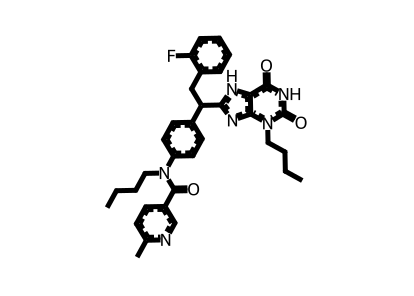 CCCCN(C(=O)c1ccc(C)nc1)c1ccc(C(Cc2ccccc2F)c2nc3c([nH]2)c(=O)[nH]c(=O)n3CCCC)cc1